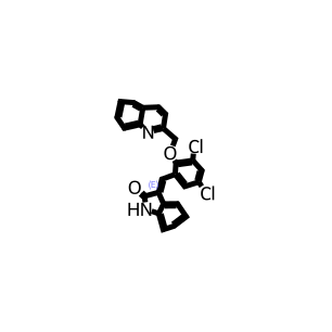 O=C1Nc2ccccc2/C1=C\c1cc(Cl)cc(Cl)c1OCc1ccc2ccccc2n1